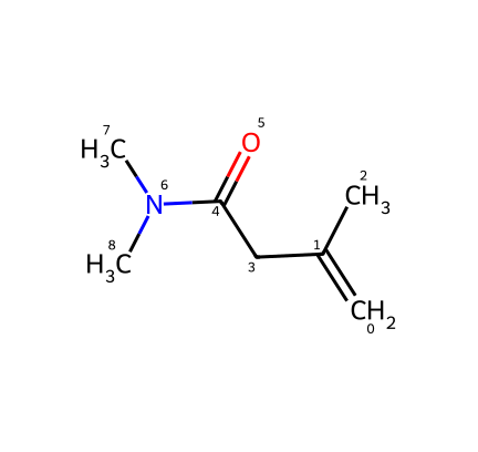 C=C(C)CC(=O)N(C)C